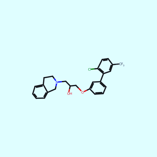 OC(COc1cccc(-c2cc(C(F)(F)F)ccc2Cl)c1)CN1CCc2ccccc2C1